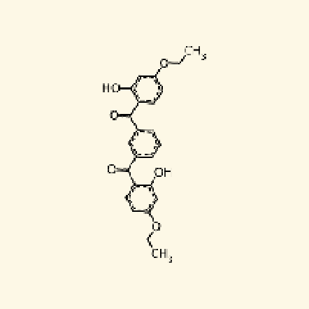 CCOc1ccc(C(=O)c2cccc(C(=O)c3ccc(OCC)cc3O)c2)c(O)c1